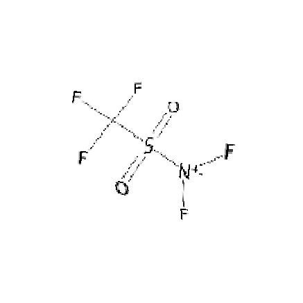 O=S(=O)([N+](F)F)C(F)(F)F